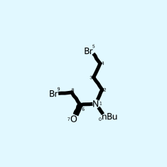 CCCCN(CCCBr)C(=O)CBr